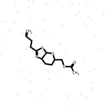 C=CCCC1=NC2CCC(COC(C)=O)OC2S1